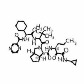 CCC[C@H](NC(=O)[C@@H]1[C@H]2CCC[C@H]2CN1C(=O)C(NC(=O)C(NC(=O)c1cnccn1)C1CCCCC1)C(C)(C)C)C(=O)C(=O)NC1CC1